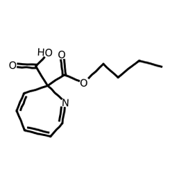 CCCCOC(=O)C1(C(=O)O)C=CC=CC=N1